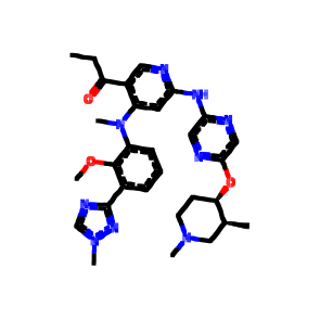 CCC(=O)c1cnc(Nc2cnc(O[C@@H]3CCN(C)C[C@@H]3C)cn2)cc1N(C)c1cccc(-c2ncn(C)n2)c1OC